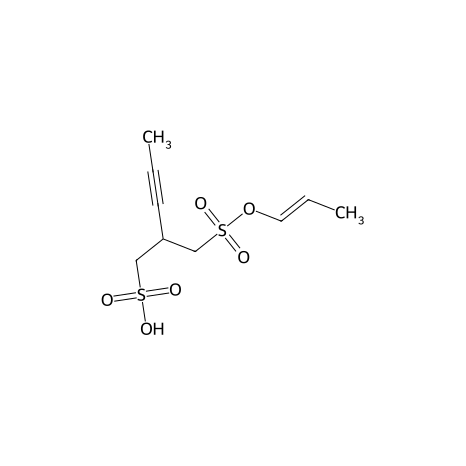 CC#CC(CS(=O)(=O)O)CS(=O)(=O)OC=CC